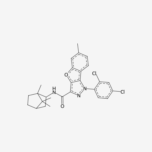 Cc1ccc2c(c1)oc1c(C(=O)NC3CC4CCC3(C)C4(C)C)nn(-c3ccc(Cl)cc3Cl)c12